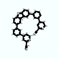 N#Cc1cc(-c2cccc(-c3ccc4oc5ccc(-c6cccc(-c7ccnc(C#N)c7)c6)cc5c4c3)c2)ccn1